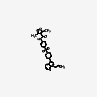 C=CCn1cc(C2CCN(S(=O)(=O)c3ccc(NC(=O)c4c(C)noc4C)cc3)CC2)c2cccnc21